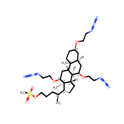 C[C@@H](CCCOS(C)(=O)=O)[C@H]1CC[C@H]2[C@@H]3[C@H](OCCN=[N+]=[N-])C[C@@H]4C[C@H](OCCN=[N+]=[N-])CC[C@]4(C)[C@H]3C[C@H](OCCN=[N+]=[N-])[C@]12C